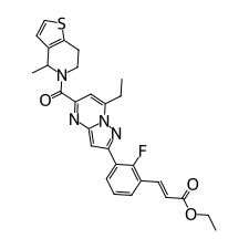 CCOC(=O)/C=C/c1cccc(-c2cc3nc(C(=O)N4CCc5sccc5C4C)cc(CC)n3n2)c1F